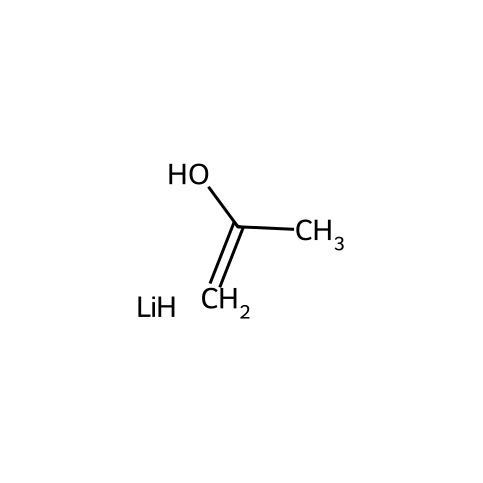 C=C(C)O.[LiH]